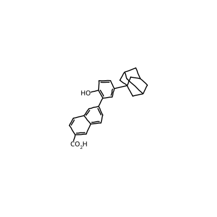 O=C(O)c1ccc2cc(-c3cc(C45CC6CC(CC(C6)C4)C5)ccc3O)ccc2c1